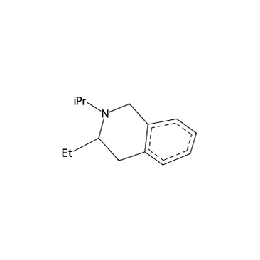 CCC1Cc2ccccc2CN1C(C)C